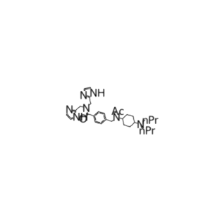 CCCN(CCC)C1CCC(N(Cc2ccc(C(=O)N(Cc3ncc[nH]3)Cc3ncc[nH]3)cc2)C(C)=O)CC1